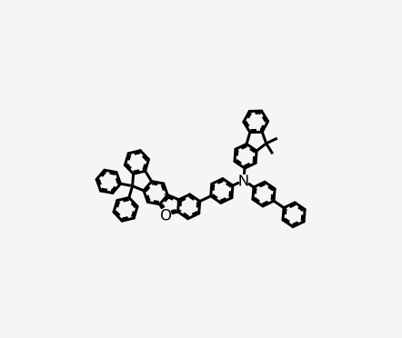 CC1(C)c2ccccc2-c2ccc(N(c3ccc(-c4ccccc4)cc3)c3ccc(-c4ccc5oc6cc7c(cc6c5c4)-c4ccccc4C7(c4ccccc4)c4ccccc4)cc3)cc21